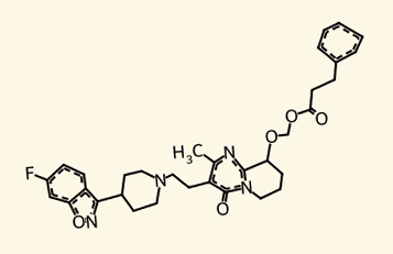 Cc1nc2n(c(=O)c1CCN1CCC(c3noc4cc(F)ccc34)CC1)CCCC2OCOC(=O)CCc1ccccc1